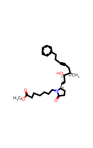 COC(=O)CCCCCCN1C(=O)CC[C@@H]1/C=C/[C@@H](O)[C@H](C)CC#CCCc1ccccc1